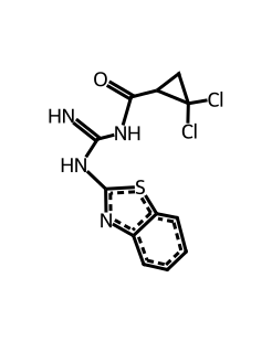 N=C(NC(=O)C1CC1(Cl)Cl)Nc1nc2ccccc2s1